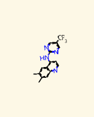 Cc1cc2nccc(Nc3ncc(C(F)(F)F)cn3)c2cc1C